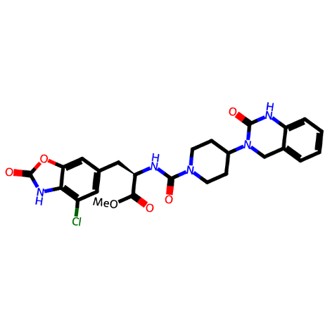 COC(=O)[C@@H](Cc1cc(Cl)c2[nH]c(=O)oc2c1)NC(=O)N1CCC(N2Cc3ccccc3NC2=O)CC1